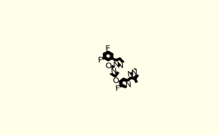 Cc1cn(C)nc1-c1cc(OC2CN(C(=O)N3N=CCC3c3cc(F)cc(F)c3)C2)c(F)cn1